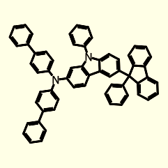 c1ccc(-c2ccc(N(c3ccc(-c4ccccc4)cc3)c3ccc4c5cc(C6(c7ccccc7)c7ccccc7-c7ccccc76)ccc5n(-c5ccccc5)c4c3)cc2)cc1